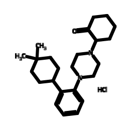 CC1(C)CCC(c2ccccc2N2CCN(C3CCCCC3=O)CC2)CC1.Cl